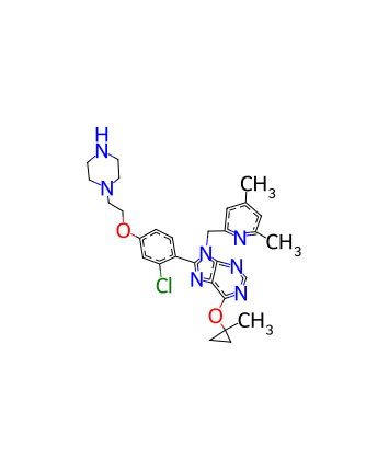 Cc1cc(C)nc(Cn2c(-c3ccc(OCCN4CCNCC4)cc3Cl)nc3c(OC4(C)CC4)ncnc32)c1